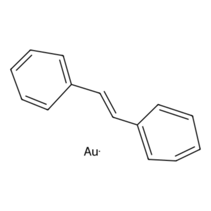 C(=Cc1ccccc1)c1ccccc1.[Au]